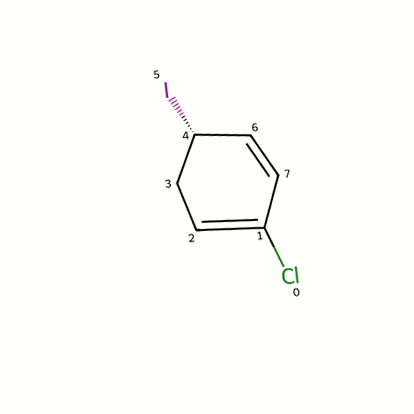 ClC1=CC[C@H](I)C=C1